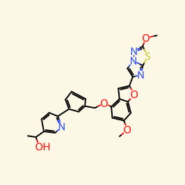 COc1cc(OCc2cccc(-c3ccc(C(C)O)cn3)c2)c2cc(-c3cn4nc(OC)sc4n3)oc2c1